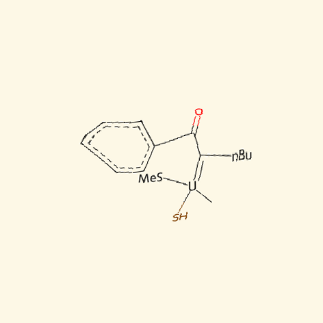 CCCC[C](C(=O)c1ccccc1)=[U]([CH3])([SH])[S]C